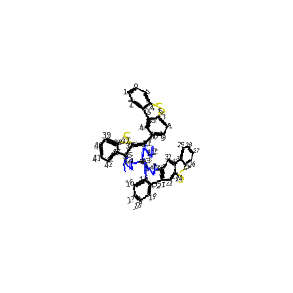 c1ccc2c(c1)sc1ccc(-c3nc(-n4c5ccccc5c5cc6sc7ccccc7c6cc54)nc4c3sc3ccccc34)cc12